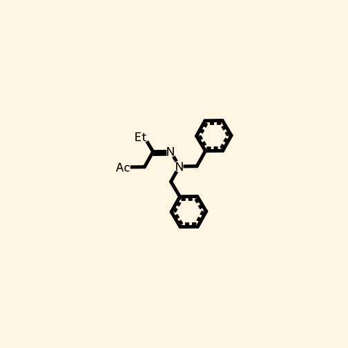 CCC(CC(C)=O)=NN(Cc1ccccc1)Cc1ccccc1